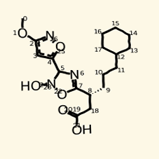 COc1cc(C2N=C([C@H](CCCC3CCCCC3)CC(=O)O)ON2O)on1